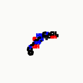 CC(C)(O)CN1CCC(Nc2cc(C(=O)NC[C@H](O)CN3CCc4ccccc4C3)ncn2)CC1